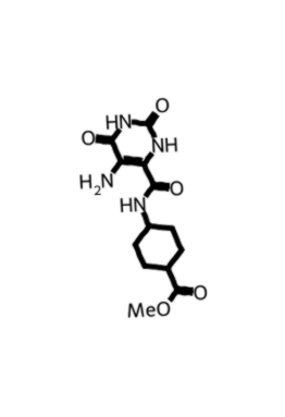 COC(=O)C1CCC(NC(=O)c2[nH]c(=O)[nH]c(=O)c2N)CC1